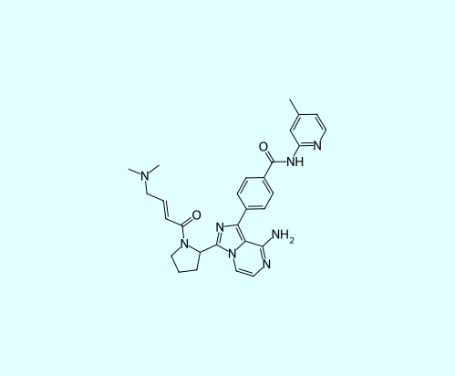 Cc1ccnc(NC(=O)c2ccc(-c3nc(C4CCCN4C(=O)/C=C/CN(C)C)n4ccnc(N)c34)cc2)c1